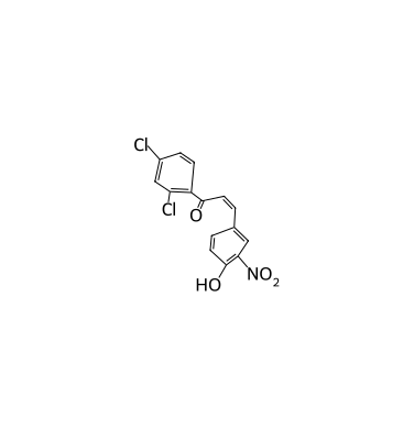 O=C(/C=C\c1ccc(O)c([N+](=O)[O-])c1)c1ccc(Cl)cc1Cl